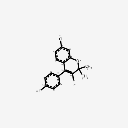 CC1(C)Oc2cc(Cl)ccc2C(c2ccc(F)cc2)=C1F